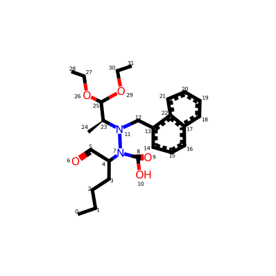 CCCCC(C=O)N(C(=O)O)N(Cc1cccc2ccccc12)[C@@H](C)C(OCC)OCC